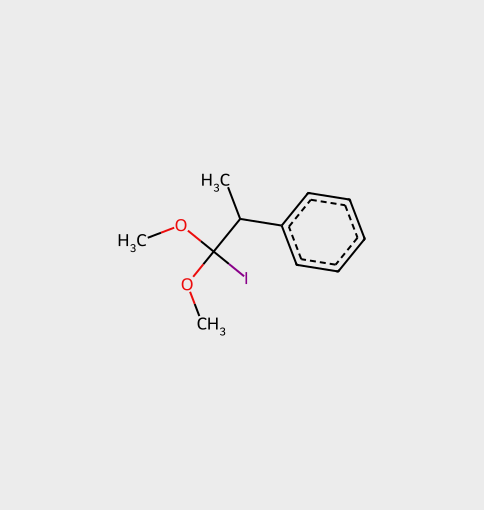 COC(I)(OC)C(C)c1ccccc1